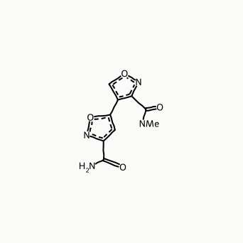 CNC(=O)c1nocc1-c1cc(C(N)=O)no1